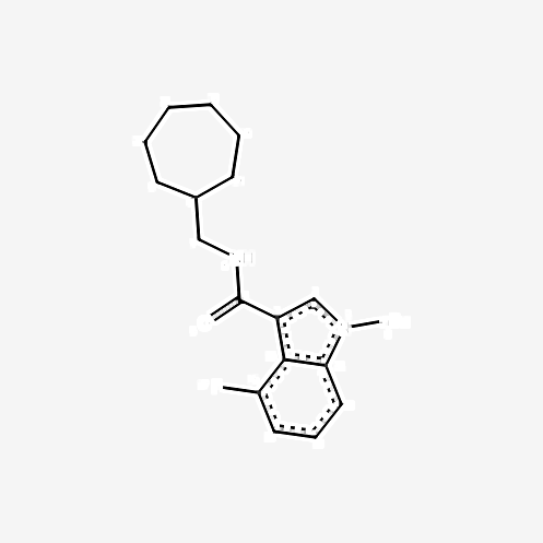 CCCCn1cc(C(=O)NCC2CCCCCC2)c2c(F)cccc21